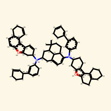 CC1(C)CCC2C(N(c3cccc(C4=CC=CCC4)c3)C3CCc4c(oc5c4C4=C(CCCC4)CC5)C3)=CC=C3CC(N(C4C=C(C5C=CCCC5)C=CC4)C4C=Cc5c(oc6ccc7c(c56)C=CCC7)C4)CC1C32